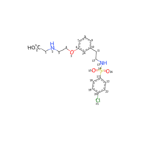 O=C(O)CNCCOc1cccc(CCNS(=O)(=O)c2ccc(Cl)cc2)c1